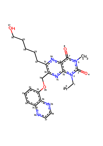 CC(C)Cn1c(=O)n(C)c(=O)c2nc(CCCCCO)c(COc3cccc4nccnc34)nc21